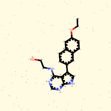 CCOc1ccc2cc(-c3c[nH]c4ncnc(NCCO)c34)ccc2c1